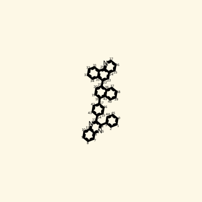 c1ccc(-c2nc3ccccc3nc2-c2ccc(-c3ccc(-c4cc5cccnc5c5ccccc45)c4ccccc34)cc2)cc1